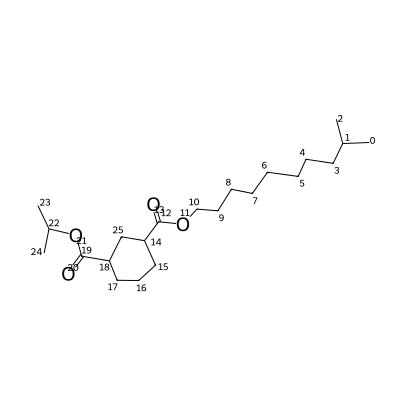 CC(C)CCCCCCCCOC(=O)C1CCCC(C(=O)OC(C)C)C1